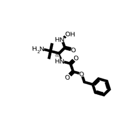 CC(C)(N)[C@H](NC(=O)C(=O)OCc1ccccc1)C(=O)NO